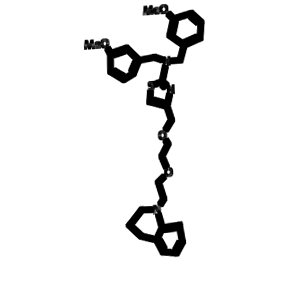 COc1cccc(CN(Cc2cccc(OC)c2)c2nc(COCCOCCN3CCCc4ccccc43)cs2)c1